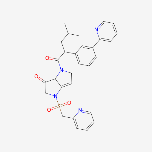 CC(C)CC(C(=O)N1CC=C2C1C(=O)CN2S(=O)(=O)Cc1ccccn1)c1cccc(-c2ccccn2)c1